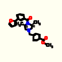 COC(=O)c1ccc(CN2C[C@@H](C)N(C(=O)c3cccc(-c4ccco4)c3)[C@@H](C)C2)cc1